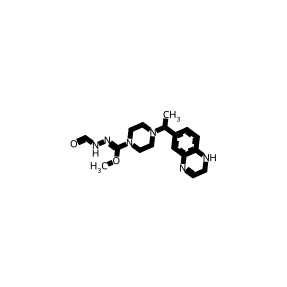 CO/C(=N\NC=O)N1CCN(C(C)c2ccc3c(c2)N=CCN3)CC1